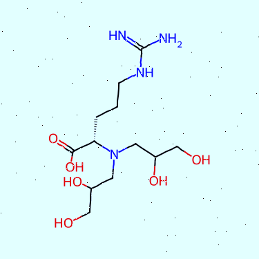 N=C(N)NCCC[C@@H](C(=O)O)N(CC(O)CO)CC(O)CO